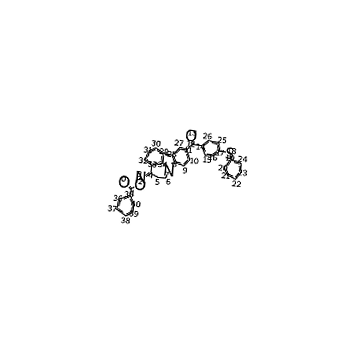 O=C(O/N=C1\CCn2c3ccc(C(=O)c4ccc(Sc5ccccc5)cc4)cc3c3cccc1c32)c1ccccc1